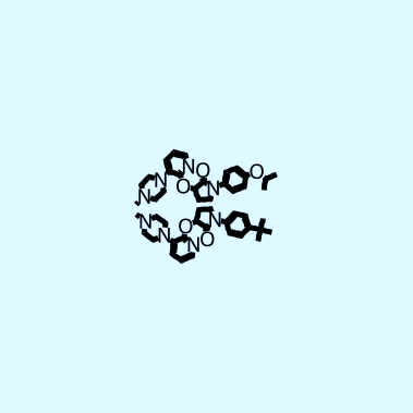 CC(C)Oc1ccc(N2CCC(Oc3ncccc3N3CCN(C)CC3)C2=O)cc1.CN1CCN(c2cccnc2OC2CCN(c3ccc(C(C)(C)C)cc3)C2=O)CC1